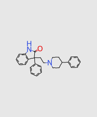 O=C1Nc2ccccc2C1(CCN1CCC(c2ccccc2)CC1)c1ccccc1